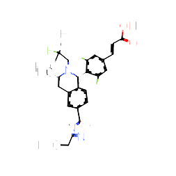 CCc1noc(-c2ccc3c(c2)C[C@H](C)N(CC(C)(C)F)[C@H]3c2c(F)cc(/C=C/C(=O)O)cc2F)n1